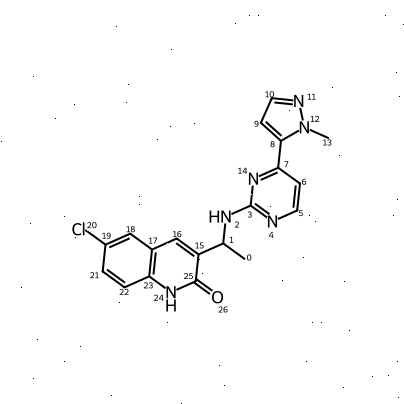 CC(Nc1nccc(-c2ccnn2C)n1)c1cc2cc(Cl)ccc2[nH]c1=O